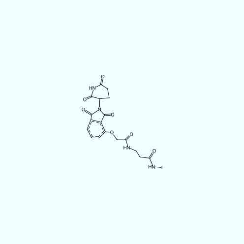 O=C(CCNC(=O)COc1cccc2c1C(=O)N(C1CCC(=O)NC1=O)C2=O)NI